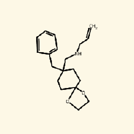 C=CCNCC1(Cc2ccccc2)CCC2(CC1)OCCO2